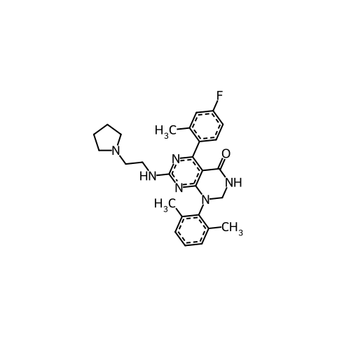 Cc1cc(F)ccc1-c1nc(NCCN2CCCC2)nc2c1C(=O)NCN2c1c(C)cccc1C